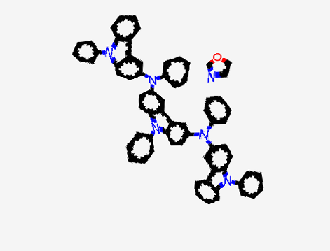 c1ccc(N(c2ccc3c(c2)c2ccccc2n3-c2ccccc2)c2ccc3c(c2)c2cc(N(c4ccccc4)c4ccc5c(c4)c4ccccc4n5-c4ccccc4)ccc2n3-c2ccccc2)cc1.c1cocn1